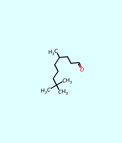 CC(CCC=O)CCCC(C)(C)C